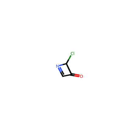 O=C1C=NC1Cl